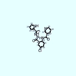 CC(=NNC(=O)c1cc(Cl)ccc1NC(=O)c1cccnc1)c1ccc[nH]1